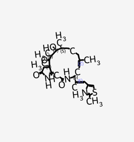 C/C1=C/C[C@@H](/C(C)=C/c2csc(C)n2)NC(=O)C[C@@H]2NC(=O)C[C@@]2(C)C(=O)[C@H](C)[C@@H](O)[C@@H](C)CCC1